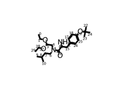 CCOC(CN(CCC(C)C)C(=O)[C@@H](N)Cc1ccc(OC(C)(C)C)cc1)OCC